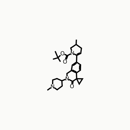 CC1CC=C(c2ccc3c(c2)CN(C2CCN(C)CC2)C(=O)C32CC2)N(C(=O)OC(C)(C)C)C1